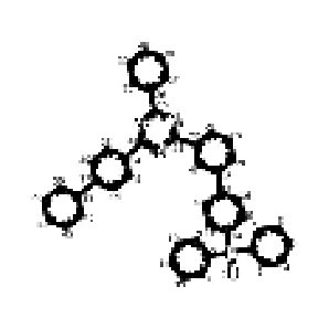 O=P(c1ccccc1)(c1ccccc1)c1ccc(-c2cccc(-c3nc(-c4ccccc4)nc(-c4ccc(-c5ccccc5)cc4)n3)c2)cc1